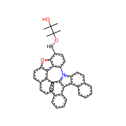 CC(C)(O)C(C)(C)OBc1ccc(-n2c3ccc4ccccc4c3c3c4ccccc4ccc32)c2c1oc1ccc3ccccc3c12